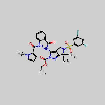 CCOC(=O)n1nc2c(c1NC(=O)c1ccccc1NC(=O)c1cccn1C)CN(S(=O)(=O)c1cc(F)cc(F)c1)C2(C)C